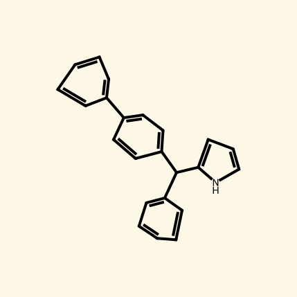 c1ccc(-c2ccc(C(c3ccccc3)c3ccc[nH]3)cc2)cc1